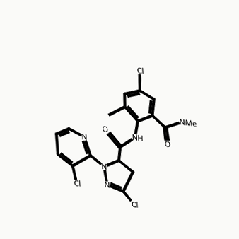 CNC(=O)c1cc(Cl)cc(C)c1NC(=O)C1CC(Cl)=NN1c1ncccc1Cl